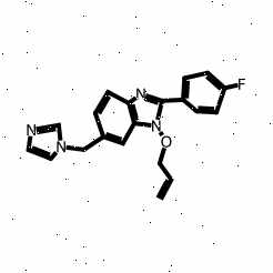 C=CCOn1c(-c2ccc(F)cc2)nc2ccc(Cn3ccnc3)cc21